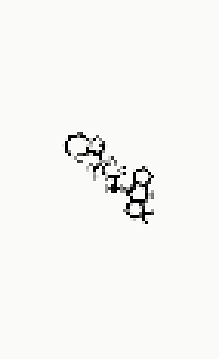 CC1(C)CCc2c1nc1c(c2NC(=O)NS(=O)(=O)c2cnn3c2OCCCC3)CCC1